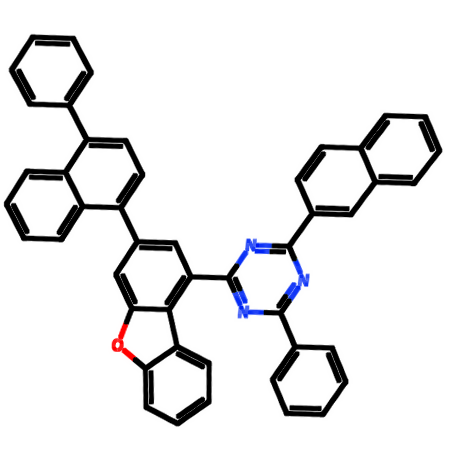 c1ccc(-c2nc(-c3ccc4ccccc4c3)nc(-c3cc(-c4ccc(-c5ccccc5)c5ccccc45)cc4oc5ccccc5c34)n2)cc1